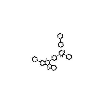 c1ccc(-c2ccc(-c3cc(-c4ccc(-c5nc6cc(-c7ccccc7)ccc6c6oc7ccccc7c56)cc4)nc(-c4ccccc4)n3)cc2)cc1